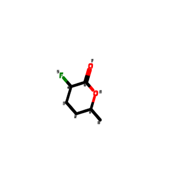 CC1CCC(F)C(=O)O1